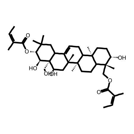 C/C=C(/C)C(=O)OC[C@]1(C)C2CC[C@]3(C)C(CC=C4C5CC(C)(C)[C@@H](OC(=O)/C(C)=C\C)[C@H](O)[C@]5(CO)[C@H](O)C[C@]43C)[C@@]2(C)CC[C@@H]1O